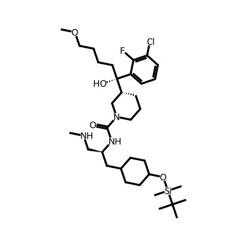 CNC[C@H](CC1CCC(O[Si](C)(C)C(C)(C)C)CC1)NC(=O)N1CCC[C@@H]([C@@](O)(CCCCOC)c2cccc(Cl)c2F)C1